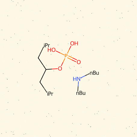 CC(C)CC(CC(C)C)OP(=O)(O)O.CCCCNCCCC